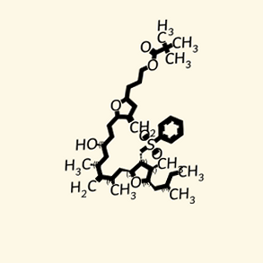 C=C1CC(CCCOC(=O)C(C)(C)C)OC1CC[C@@H](O)C[C@@H](C)C(=C)[C@H](C)C[C@@H]1O[C@H](C[C@H](C)CC)[C@H](C)[C@H]1CS(=O)(=O)c1ccccc1